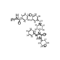 CC(C)NC(=O)c1ccc(Oc2ccc(CN3CCC(N4C(=O)N(C5CCOCC5)C[C@H]4c4ccccc4)CC3)cc2)cc1